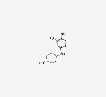 Nc1ccc(NC2CCC(O)CC2)cc1C(F)(F)F